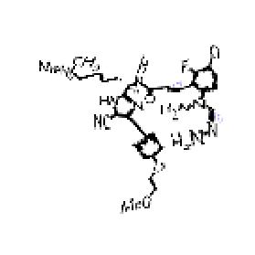 CN[C@@H](C)CCCC[C@H](NC(=O)/C=C/c1c(N(N)/C=N\N)ccc(Cl)c1F)C1=NC(c2ccc(OCCOC)cc2)C(C#N)N1